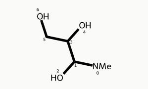 CNC(O)C(O)CO